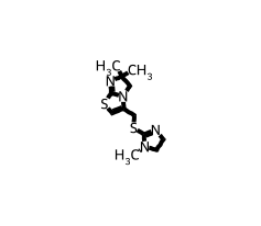 CN1CCN=C1SCC1=CSC2=NC(C)(C)CN12